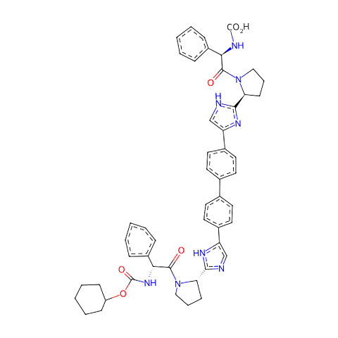 O=C(O)N[C@@H](C(=O)N1CCC[C@H]1c1nc(-c2ccc(-c3ccc(-c4cnc([C@@H]5CCCN5C(=O)[C@H](NC(=O)OC5CCCCC5)c5ccccc5)[nH]4)cc3)cc2)c[nH]1)c1ccccc1